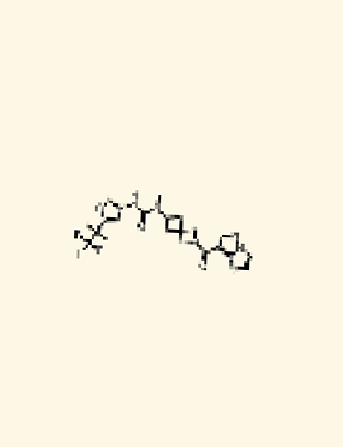 CN(C(=O)Nc1cc(C(C)(C)C(F)(F)F)on1)C1CC2(C1)CN(C(=O)c1cnn3ccsc13)C2